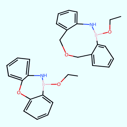 CCOB1Nc2ccccc2COCc2ccccc21.CCOB1Nc2ccccc2Oc2ccccc21